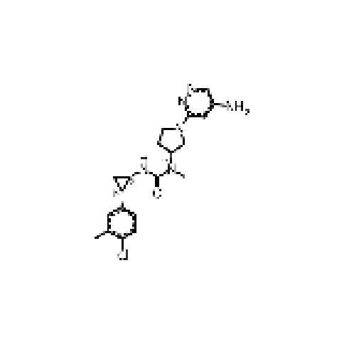 Cc1cc([C@@H]2C[C@H]2NC(=O)N(C)[C@H]2CCN(c3cc(N)cnn3)C2)ccc1Cl